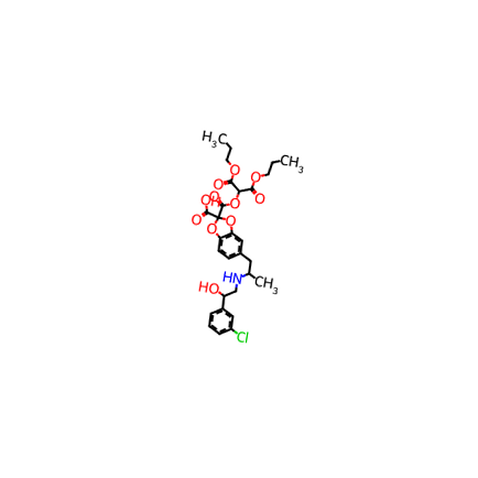 CCCOC(=O)C(OC(=O)C1(C(=O)O)Oc2ccc(CC(C)NCC(O)c3cccc(Cl)c3)cc2O1)C(=O)OCCC